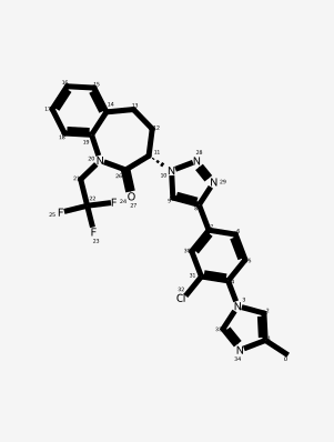 Cc1cn(-c2ccc(-c3cn([C@H]4CCc5ccccc5N(CC(F)(F)F)C4=O)nn3)cc2Cl)cn1